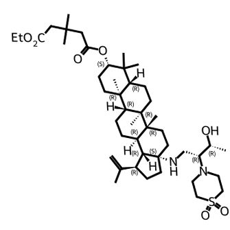 C=C(C)[C@@H]1CC[C@]2(NC[C@H]([C@@H](C)O)N3CCS(=O)(=O)CC3)CC[C@]3(C)[C@H](CC[C@@H]4[C@@]5(C)CC[C@H](OC(=O)CC(C)(C)CC(=O)OCC)C(C)(C)[C@@H]5CC[C@]43C)[C@@H]12